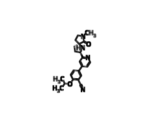 CC(C)Oc1ccc(-c2ccnc([C@H]3CC[C@@]4(CCN(C)C4=O)N3)c2)cc1C#N